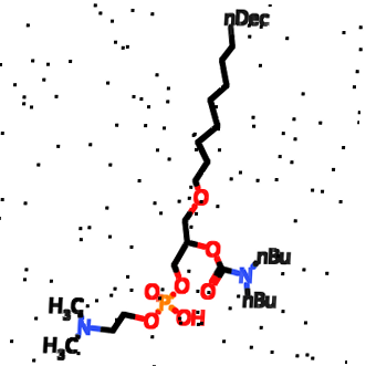 CCCCCCCCCCCCCCCCCCOCC(COP(=O)(O)OCCN(C)C)OC(=O)N(CCCC)CCCC